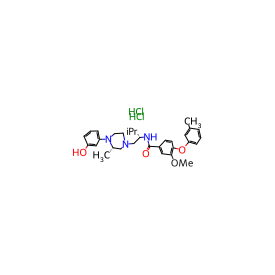 COc1cc(C(=O)N[C@H](CN2CCN(c3cccc(O)c3)[C@@H](C)C2)C(C)C)ccc1Oc1cccc(C)c1.Cl.Cl